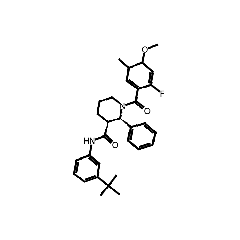 COC1C=C(F)C(C(=O)N2CCC[C@H](C(=O)Nc3cccc(C(C)(C)C)c3)[C@@H]2c2ccccc2)=CC1C